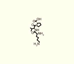 CC(C)[C@H](NC(=O)[C@H](N)CCCCN)C(=O)N1CCC[C@H]1C(=O)O